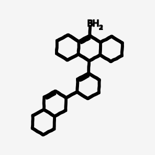 BC1=C2CCCCC2C(C2=CC(C3C=CC4CCCCC4C3)CCC2)C2CCCCC12